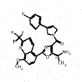 COc1ccc(-c2nc(C(=O)N3CC=C(c4ccc(F)cc4)C3)c([C@H](C)N)o2)c2ccc(C(F)(F)F)nc12